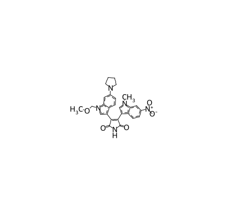 COCn1cc(C2=C(c3cn(C)c4cc([N+](=O)[O-])ccc34)C(=O)NC2=O)c2ccc(N3CCCC3)cc21